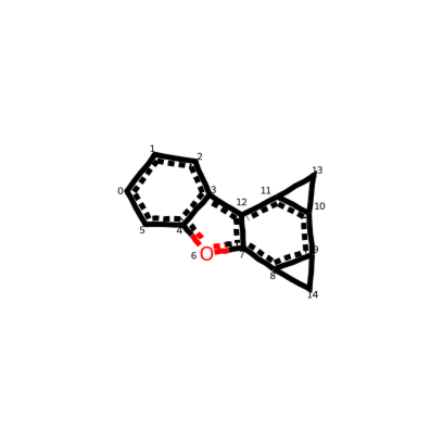 c1ccc2c(c1)oc1c3c(c4c(c12)C4)C3